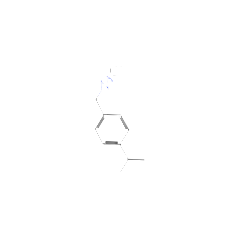 [C-]#[N+]Cc1ccc(C(C)C)cc1